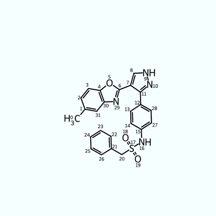 Cc1ccc2oc(-c3c[nH]nc3-c3ccc(NS(=O)(=O)Cc4ccccc4)cc3)nc2c1